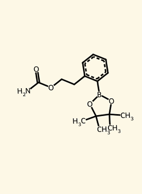 CC1(C)OB(c2ccccc2CCOC(N)=O)OC1(C)C